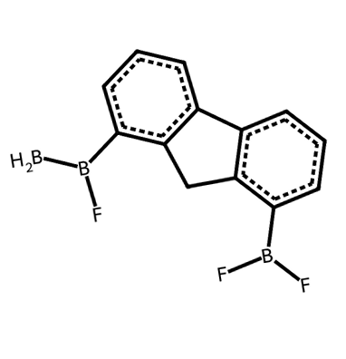 BB(F)c1cccc2c1Cc1c(B(F)F)cccc1-2